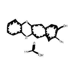 O=C(O)O.Oc1cc2cc3c(cc2cc1O)Oc1ccccc1N3